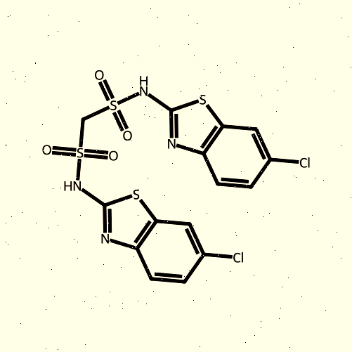 O=S(=O)(CS(=O)(=O)Nc1nc2ccc(Cl)cc2s1)Nc1nc2ccc(Cl)cc2s1